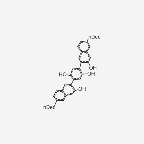 CCCCCCCCCCc1ccc2cc(-c3cc(O)c(-c4cc5ccc(CCCCCCCCCC)cc5cc4O)cc3O)c(O)cc2c1